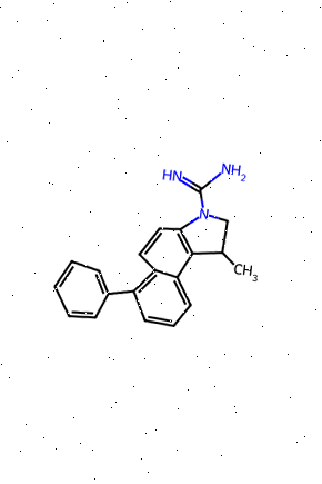 CC1CN(C(=N)N)c2ccc3c(-c4ccccc4)cccc3c21